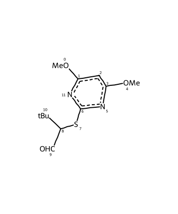 COc1cc(OC)nc(SC(C=O)C(C)(C)C)n1